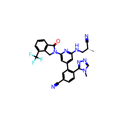 C[C@@H](C#N)CNc1cc(-c2cc(C#N)ccc2-c2nncn2C)cc(N2Cc3c(cccc3C(F)(F)F)C2=O)n1